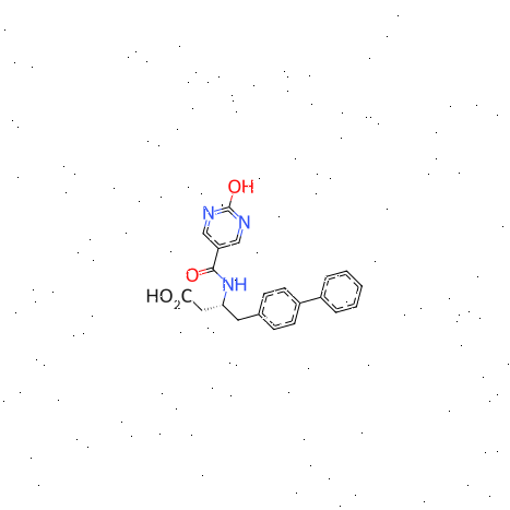 O=C(O)C[C@@H](Cc1ccc(-c2ccccc2)cc1)NC(=O)c1cnc(O)nc1